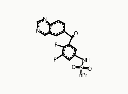 CCCS(=O)(=O)Nc1cc(F)c(F)c(C(=O)c2ccc3ncncc3c2)c1